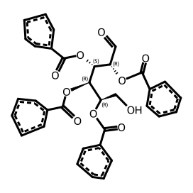 O=C[C@H](OC(=O)c1ccccc1)[C@@H](OC(=O)c1ccccc1)[C@H](OC(=O)c1ccccc1)[C@@H](CO)OC(=O)c1ccccc1